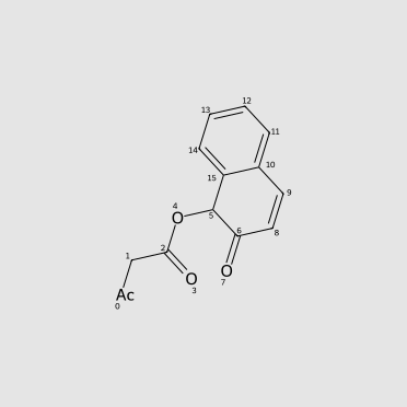 CC(=O)CC(=O)OC1C(=O)C=Cc2ccccc21